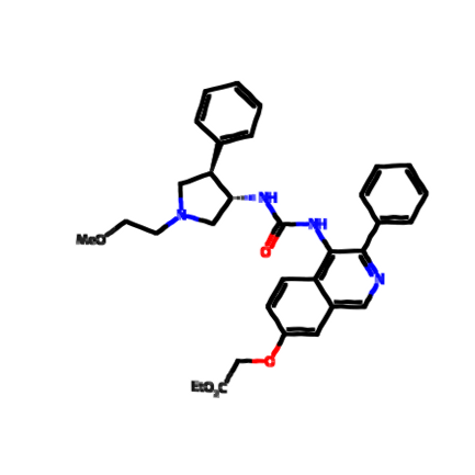 CCOC(=O)COc1ccc2c(NC(=O)N[C@@H]3CN(CCOC)C[C@H]3c3ccccc3)c(-c3ccccc3)ncc2c1